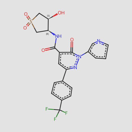 O=C(N[C@H]1CS(=O)(=O)C[C@H]1O)c1cc(-c2ccc(C(F)(F)F)cc2)nn(-c2cccnc2)c1=O